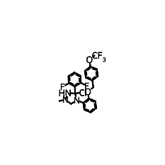 CN1CN(c2ccccc2OCc2ccc(OC(F)(F)F)cc2)C(Cl)(c2c(F)cccc2F)N1